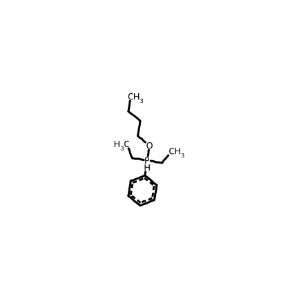 CCCCO[PH](CC)(CC)c1ccccc1